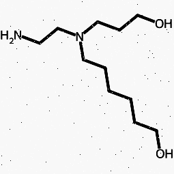 NCCN(CCCO)CCCCCCO